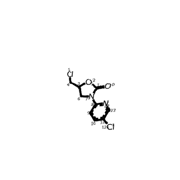 O=C1OC(CCl)CN1c1ccc(Cl)cn1